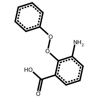 Nc1cccc(C(=O)O)c1OOc1ccccc1